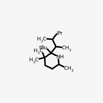 CC1CCC(C)(C)C(C(C)C(C)C(C)C)(C(C)(C)C)N1